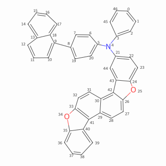 c1ccc(N(c2ccc(-c3cccc4ccccc34)cc2)c2ccc3oc4ccc5c(ccc6oc7ccccc7c65)c4c3c2)cc1